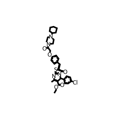 CCOC(=O)C1=C(C)N=c2s/c(=C\c3ccc(OCC(=O)N4CCN(C5CCCCC5)CC4)cc3)c(=O)n2C1c1ccc(Cl)cc1